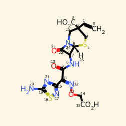 C=CC1(C(=O)O)CS[C@@H]2C(NC(=O)C(=NOCC(=O)O)c3nsc(N)n3)C(=O)N2C1